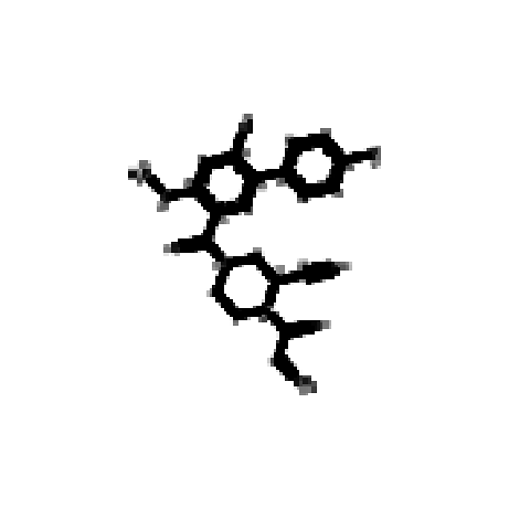 C=CC(=O)N1CCN(C(=O)c2cc(-c3ccc(Cl)cc3)c(Cl)cc2OC)CC1C#N